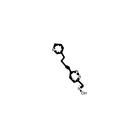 O/N=C/c1ccc(C#CCCc2cccnc2)nn1